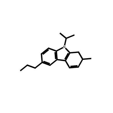 CCCc1ccc2c(c1)c1c(n2C(C)C)CC(C)C=C1